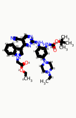 CCOC(=O)Cn1cc(-c2nc(Nc3ccc(N4CCN(CC)CC4)cc3NC(=O)OC(C)(C)C)ncc2C#N)c2ccccc21